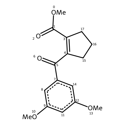 COC(=O)C1=C(C(=O)c2cc(OC)cc(OC)c2)CCC1